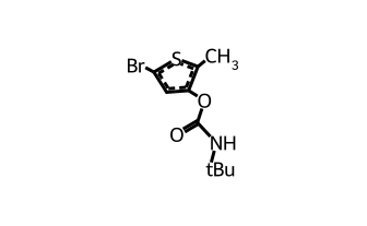 Cc1sc(Br)cc1OC(=O)NC(C)(C)C